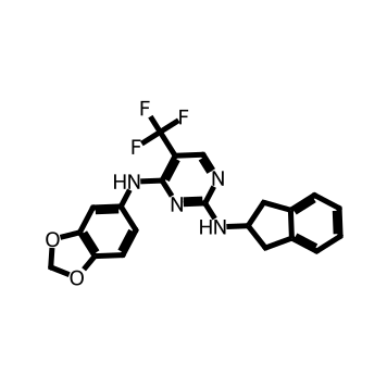 FC(F)(F)c1cnc(NC2Cc3ccccc3C2)nc1Nc1ccc2c(c1)OCO2